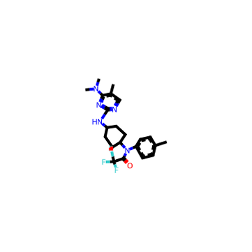 Cc1ccc(N(C(=O)C(F)(F)F)C2CCC(Nc3ncc(C)c(N(C)C)n3)CC2)cc1